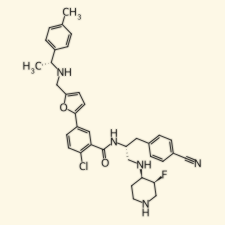 Cc1ccc([C@@H](C)NCc2ccc(-c3ccc(Cl)c(C(=O)N[C@@H](CN[C@@H]4CCNC[C@@H]4F)Cc4ccc(C#N)cc4)c3)o2)cc1